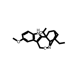 CCC1CC2CN3CCc4c([nH]c5ccc(OC)cc45)C(C(C)=O)(C2)C13